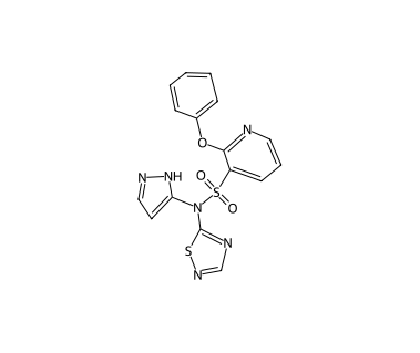 O=S(=O)(c1cccnc1Oc1ccccc1)N(c1ccn[nH]1)c1ncns1